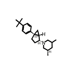 CC1C[C@@H](C)CN([C@@H]2CC[C@]3(c4ccc(C(C)(C)C)cc4)C[C@H]23)C1